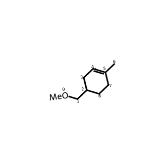 COCC1C[C]=C(C)CC1